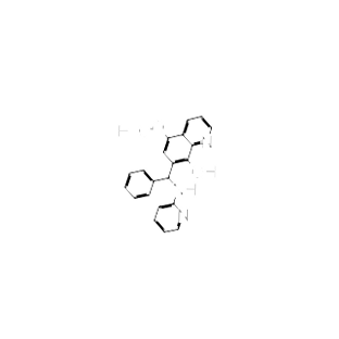 COc1cc(C(Nc2ccccn2)c2ccccc2)c(O)c2ncccc12